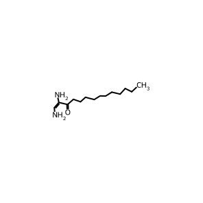 CCCCCCCCCCCC(=O)/C(N)=C\N